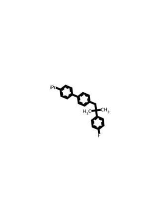 CC(C)c1ccc(-c2ccc(CC(C)(C)c3ccc(F)cc3)cc2)cc1